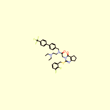 CCN(CC)CCN(Cc1ccc(-c2ccc(C(F)(F)F)cc2)cc1)C(=O)Cn1c(SCc2cccc(F)c2F)nc2c(c1=O)CCC2